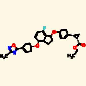 CCOC(=O)[C@H]1C[C@@H]1c1ccc(O[C@@H]2CCc3c(Oc4ccc(-c5nc(C)no5)cc4)ccc(F)c32)cc1